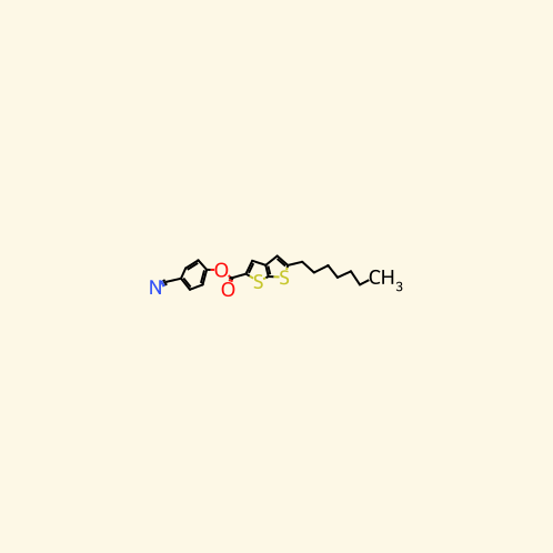 CCCCCCCc1cc2cc(C(=O)Oc3ccc(C#N)cc3)sc2s1